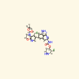 Cc1c(-c2cc3cc(NC(=O)O[C@@H]4CCNC[C@H]4F)ncc3c(N)c2F)cnc2c1N(C(=O)OC(C)(C)C)CCO2